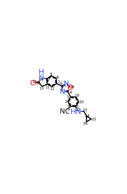 N#Cc1cc(-c2nc(-c3ccc4c(c3)CC(=O)N4)no2)ccc1NCC1CC1